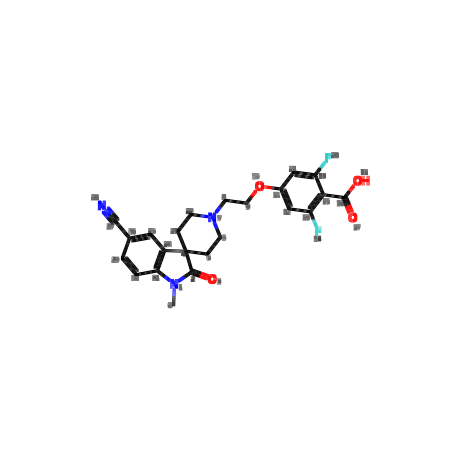 CN1C(=O)C2(CCN(CCOc3cc(F)c(C(=O)O)c(F)c3)CC2)c2cc(C#N)ccc21